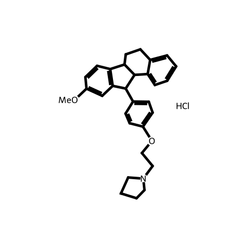 COc1ccc2c(c1)C(c1ccc(OCCN3CCCC3)cc1)C1c3ccccc3CCC21.Cl